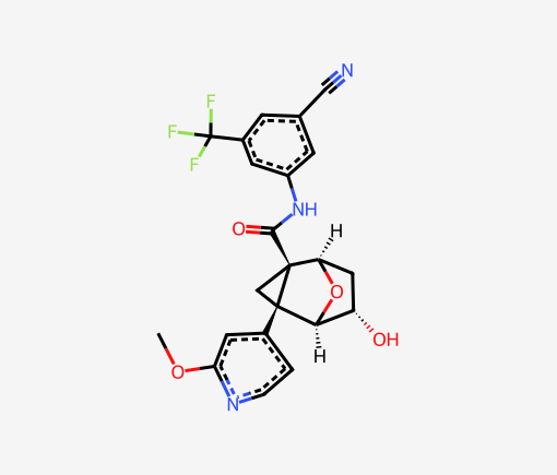 COc1cc([C@@]23C[C@]2(C(=O)Nc2cc(C#N)cc(C(F)(F)F)c2)[C@H]2C[C@H](O)[C@@H]3O2)ccn1